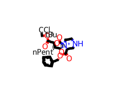 CCCCC[C@H](CC(=O)OCC(Cl)(Cl)Cl)C(=O)[N@@+]1(C(=O)OC(C)(C)C)CCNCC1C(=O)OCc1ccccc1